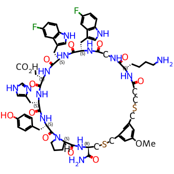 COc1cc2cc(c1)CSC[C@@H](C(N)=O)NC(=O)[C@@H]1CCCN1C(=O)[C@H](Cc1ccc(O)cc1)NC(=O)[C@H](Cc1c[nH]cn1)NC(=O)[C@H](CC(=O)O)NC(=O)[C@H](Cc1c[nH]c3ccc(F)cc13)NC(=O)[C@H](Cc1c[nH]c3ccc(F)cc13)NC(=O)CNC(=O)[C@H](CCCCN)NC(=O)CCSC2